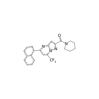 O=C(c1cc2nc(-c3cccc4ccccc34)cc(C(F)(F)F)n2n1)N1CCCCC1